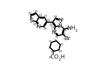 Nc1c(Br)c([C@H]2CC[C@H](C(=O)O)CC2)nc2c(-c3cnc4sccc4c3)cnn12